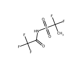 CC(F)(F)S(=O)(=O)NC(=O)C(F)(F)F